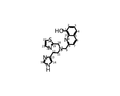 Oc1cccc2ccc(CN(CCc3c[nH]cn3)Cc3nccs3)nc12